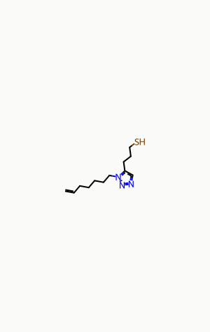 C=CCCCCCn1nncc1CCCS